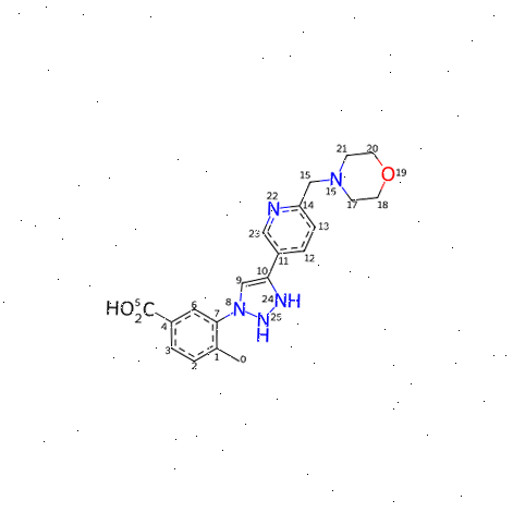 Cc1ccc(C(=O)O)cc1N1C=C(c2ccc(CN3CCOCC3)nc2)NN1